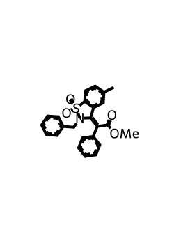 COC(=O)/C(=C1\c2cc(C)ccc2S(=O)(=O)N1Cc1ccccc1)c1ccccc1